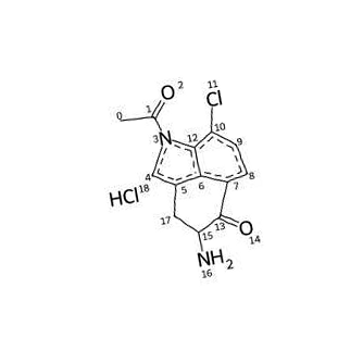 CC(=O)n1cc2c3c(ccc(Cl)c31)C(=O)C(N)C2.Cl